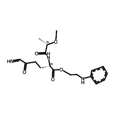 CO[C@@H](C)C(=O)N[C@@H](CCC(=O)C=N)C(=O)OCCNc1ccccc1